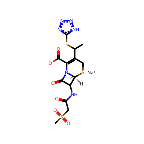 CC(Sc1nnn[nH]1)C1=C(C(=O)[O-])N2C(=O)C(NC(=O)CS(C)(=O)=O)[C@@H]2SC1.[Na+]